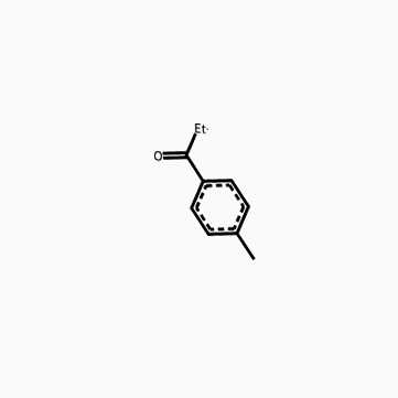 C[CH]C(=O)c1ccc(C)cc1